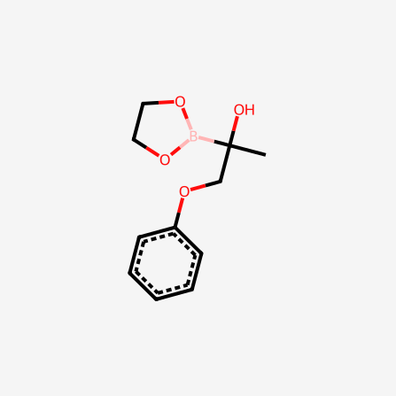 CC(O)(COc1ccccc1)B1OCCO1